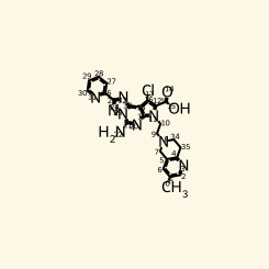 Cc1cnc2c(c1)CN(CCn1c(C(=O)O)c(Cl)c3c1nc(N)n1nc(-c4ccccn4)nc31)CC2